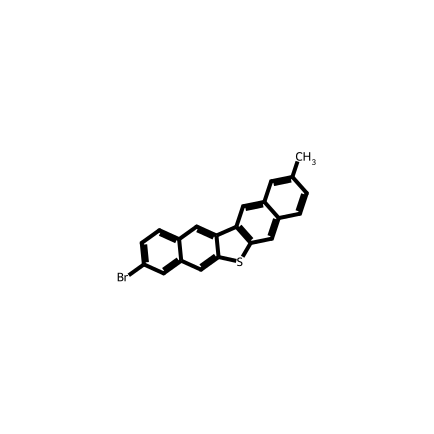 Cc1ccc2cc3sc4cc5cc(Br)ccc5cc4c3cc2c1